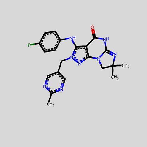 Cc1ncc(Cn2nc3c(c2Nc2ccc(F)cc2)C(=O)NC2=NC(C)(C)CN23)cn1